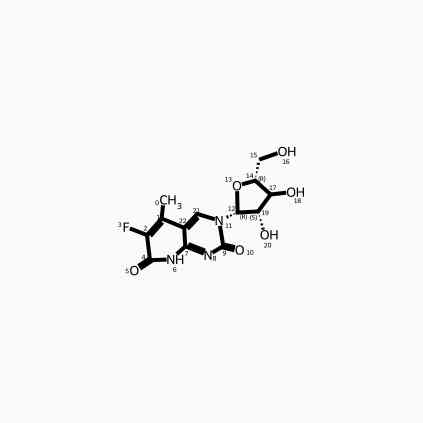 Cc1c(F)c(=O)[nH]c2nc(=O)n([C@@H]3O[C@H](CO)C(O)[C@@H]3O)cc12